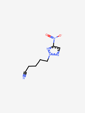 N#CCCCCn1ncc([N+](=O)[O-])n1